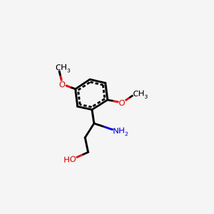 COc1ccc(OC)c(C(N)CCO)c1